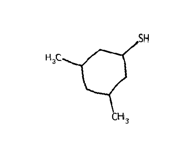 CC1CC(C)CC(S)C1